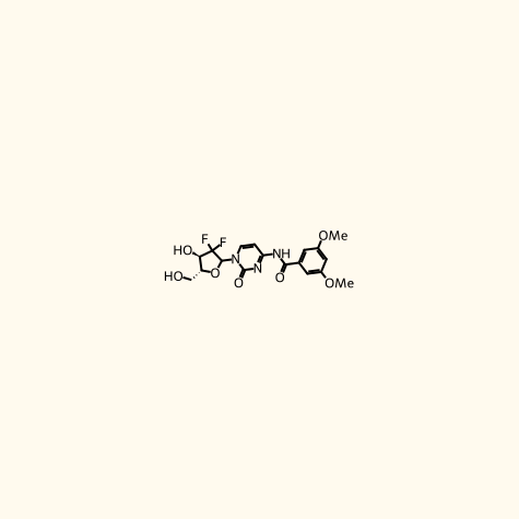 COc1cc(OC)cc(C(=O)Nc2ccn(C3O[C@H](CO)[C@@H](O)C3(F)F)c(=O)n2)c1